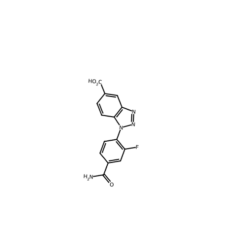 NC(=O)c1ccc(-n2nnc3cc(C(=O)O)ccc32)c(F)c1